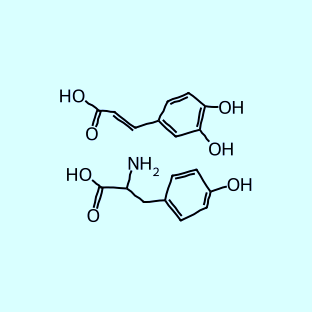 NC(Cc1ccc(O)cc1)C(=O)O.O=C(O)C=Cc1ccc(O)c(O)c1